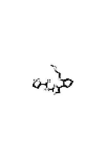 COCCOc1ccccc1-c1csc(NC(=O)c2ccno2)n1